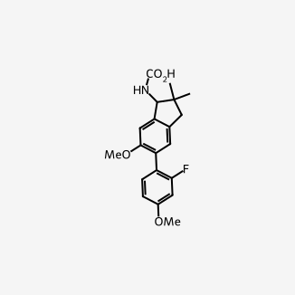 COc1ccc(-c2cc3c(cc2OC)C(NC(=O)O)C(C)(C)C3)c(F)c1